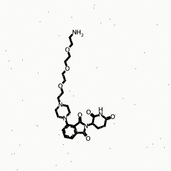 NCCOCCOCCOCCN1CCN(c2cccc3c2C(=O)N(C2CCC(=O)NC2=O)C3=O)CC1